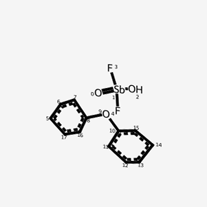 [O]=[Sb]([OH])([F])[F].c1ccc(Oc2ccccc2)cc1